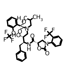 CC(C)CN(C[C@@H](O)[C@H](Cc1ccccc1)NC(=O)[C@@H]1CN(c2ccccc2C(F)(F)F)C(=O)O1)S(=O)(=O)c1ccccc1OC(F)(F)F